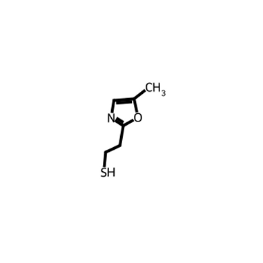 Cc1cnc(CCS)o1